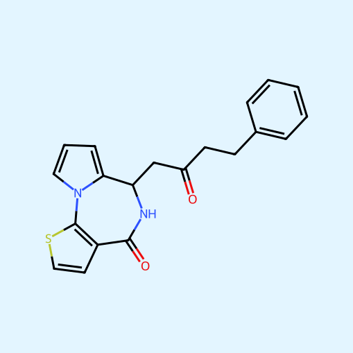 O=C(CCc1ccccc1)CC1NC(=O)c2ccsc2-n2cccc21